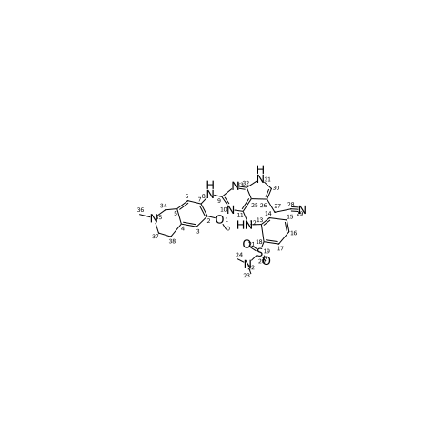 COc1cc2c(cc1Nc1nc(Nc3ccccc3S(=O)(=O)N(C)C)c3c(CC#N)c[nH]c3n1)CN(C)CC2